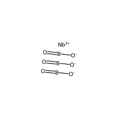 O=B[O-].O=B[O-].O=B[O-].[Nb+3]